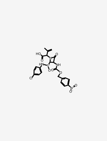 C=C(C)C(C(=O)O)N1C(=O)C(NC(=O)OCc2ccc([N+](=O)[O-])cc2)C1[S+]([O-])Nc1ccc(Cl)cc1